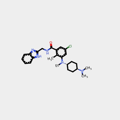 CCN(c1cc(Cl)cc(C(=O)NCc2nc3ccccc3[nH]2)c1C)[C@H]1CC[C@H](N(C)C)CC1